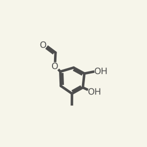 Cc1cc(OC=O)cc(O)c1O